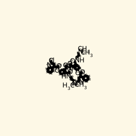 CN(C)CCCNC(=O)C1C2CC(OC(=O)c3cc(Cl)nc4ccccc34)C(C2)C1C(=O)NC(=O)C1C2CC(CC2OC(=O)c2cc(Cl)nc3ccccc23)C1C(=O)NCCCN(C)C